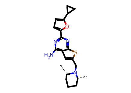 C[C@@H]1CCC[C@H](C)N1Cc1cc2c(N)nc(-c3ccc(C4CC4)o3)nc2s1